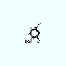 [CH2]C(C)(C)c1ccc(F)cc1F